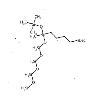 CCCCCCCCCCCCCC[Si](C)(O[SiH2]O[SiH2]O[SiH2]O[SiH3])O[Si](C)(C)C